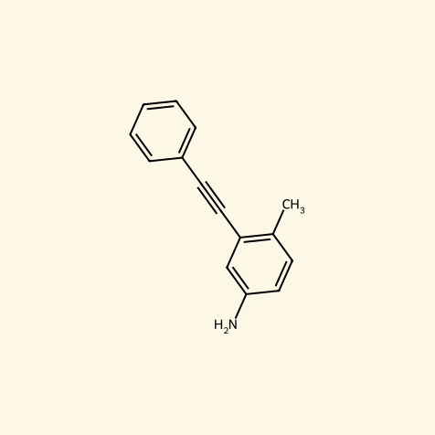 Cc1ccc(N)cc1C#Cc1ccccc1